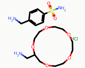 Cl.NCC1COCCOCCOCCOCCO1.NCc1ccc(S(N)(=O)=O)cc1